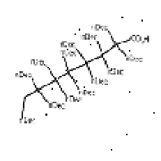 CCCCCCCCCCCC(CCCCCCCCCC)(CCCCCCCCCC)C(CCCCCCCCCC)(CCCCCCCCCC)C(CCCCCCCCCC)(CCCCCCCCCC)C(CCCCCCCCCC)(CCCCCCCCCC)C(CCCCCCCCCC)(CCCCCCCCCC)C(CCCCCCCCCC)(CCCCCCCCCC)C(=O)O